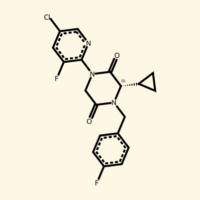 O=C1[C@H](C2CC2)N(Cc2ccc(F)cc2)C(=O)CN1c1ncc(Cl)cc1F